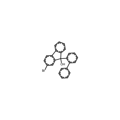 OC1(c2ccccc2-c2ccccc2)c2ccccc2-c2ccc(Br)cc21